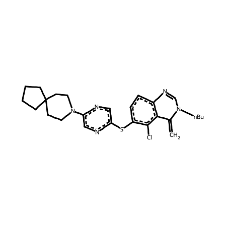 C=C1c2c(ccc(Sc3cnc(N4CCC5(CCCC5)CC4)cn3)c2Cl)N=CN1CCCC